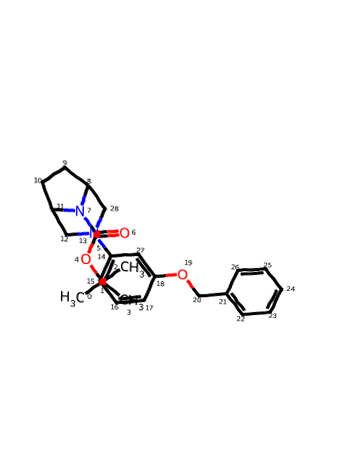 CC(C)(C)OC(=O)N1C2CCC1CN(c1cccc(OCc3ccccc3)c1)C2